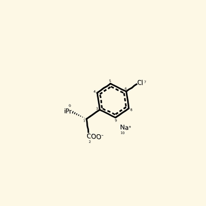 CC(C)[C@@H](C(=O)[O-])c1ccc(Cl)cc1.[Na+]